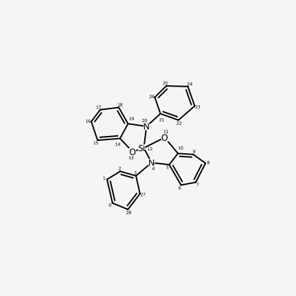 c1ccc(N2c3ccccc3O[Si]23Oc2ccccc2N3c2ccccc2)cc1